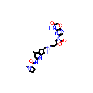 Cc1cc(NC(=O)[C@@H]2CCCN2C)nc2c1CC(CNCCC1CN(c3cnc4c(n3)NC(=O)CO4)C(=O)O1)C2